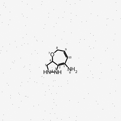 NC1=C2NNCC2OCC=C1